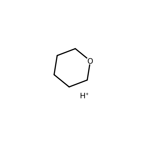 C1CCOCC1.[H+]